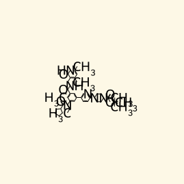 CCN(C(=O)C1CCCC1)c1cc(-c2ccc(N3CCN(C(=O)OC(C)(C)C)CC3)nc2)cc(C(=O)NCc2c(C)cc(C)[nH]c2=O)c1C